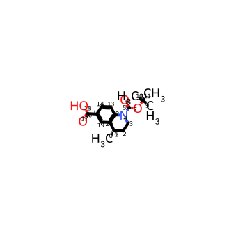 C[C@H]1CCN(C(=O)OC(C)(C)C)c2ccc(C(=O)O)cc21